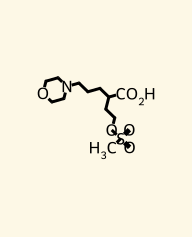 CS(=O)(=O)OCCC(CCCN1CCOCC1)C(=O)O